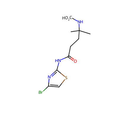 CC(C)(CCC(=O)Nc1nc(Br)cs1)NC(=O)O